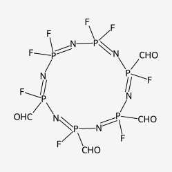 O=CP1(F)=NP(F)(F)=NP(F)(F)=NP(F)(C=O)=NP(F)(C=O)=NP(F)(C=O)=N1